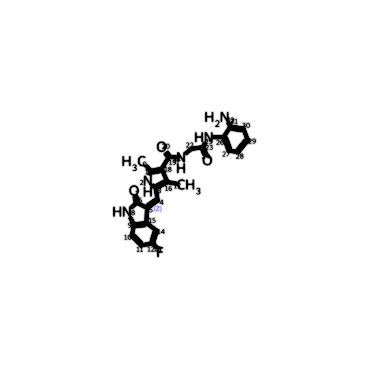 Cc1[nH]c(/C=C2\C(=O)Nc3ccc(F)cc32)c(C)c1C(=O)NCC(=O)Nc1ccccc1N